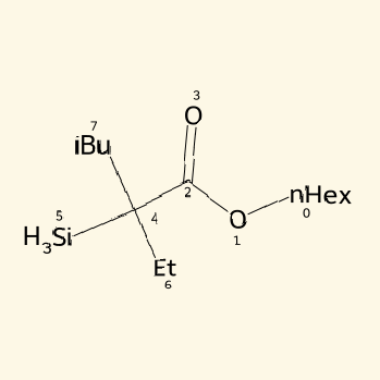 CCCCCCOC(=O)C([SiH3])(CC)C(C)CC